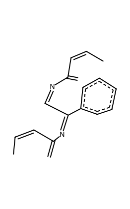 C=C(/C=C\C)/N=C\C(=N/C(=C)/C=C\C)c1ccccc1